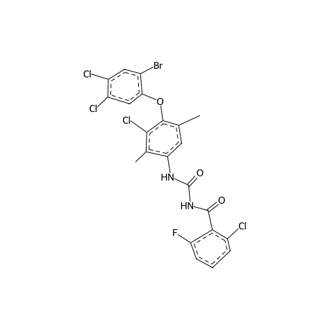 Cc1cc(NC(=O)NC(=O)c2c(F)cccc2Cl)c(C)c(Cl)c1Oc1cc(Cl)c(Cl)cc1Br